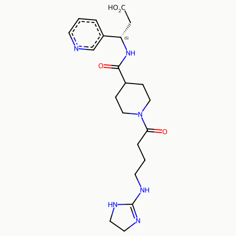 O=C(O)C[C@H](NC(=O)C1CCN(C(=O)CCCNC2=NCCN2)CC1)c1cccnc1